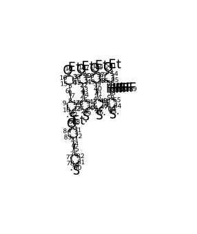 CCOc1ccc(C#Cc2ccc([S])cc2)cc1.CCOc1ccc(C#Cc2ccc([S])cc2)cc1.CCOc1ccc(C#Cc2ccc([S])cc2)cc1.CCOc1ccc(C#Cc2ccc([S])cc2)cc1.CCOc1ccc(C#Cc2ccc([S])cc2)cc1.F.F.F.F.F